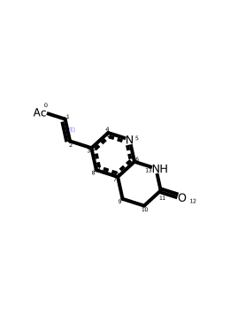 CC(=O)/C=C/c1cnc2c(c1)CCC(=O)N2